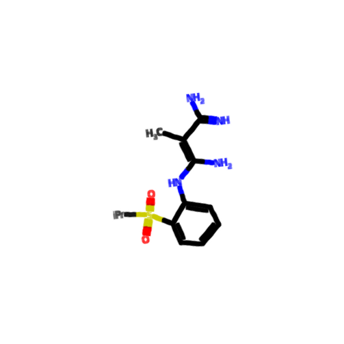 C/C(C(=N)N)=C(/N)Nc1ccccc1S(=O)(=O)C(C)C